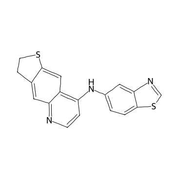 c1cc(Nc2ccc3scnc3c2)c2cc3c(cc2n1)CCS3